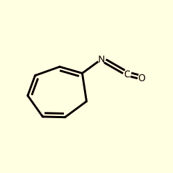 O=C=NC1=CC=CC=CC1